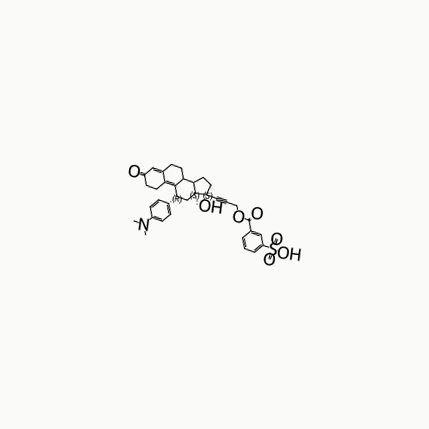 CN(C)c1ccc([C@H]2C[C@@]3(C)C(CC[C@@]3(O)C#CCOC(=O)c3cccc(S(=O)(=O)O)c3)C3CCC4=CC(=O)CCC4=C32)cc1